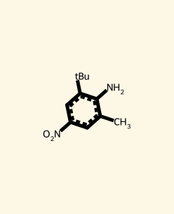 Cc1cc([N+](=O)[O-])cc(C(C)(C)C)c1N